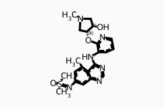 Cc1cc(N=S(C)(C)=O)cc2ncnc(Nc3cccnc3O[C@@H]3CN(C)C[C@H]3O)c12